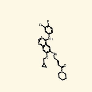 O=C(C=CCNc1cc2c(Nc3ccc(F)c(Cl)c3)ncnc2cc1OCC1CC1)N1CCCCC1